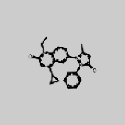 CCn1c(=O)cc(C2CC2)c2cc(-n3c(C)cc(=O)n3-c3ccccc3)ccc21